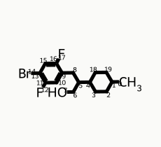 CC1CCC(C(CO)Cc2cc(F)c(Br)cc2F)CC1